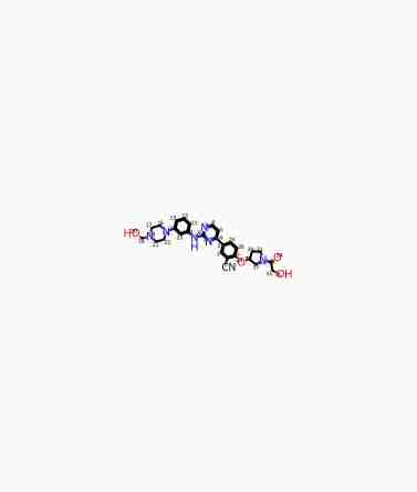 N#Cc1cc(-c2ccnc(Nc3cccc(N4CCN(CO)CC4)c3)n2)ccc1O[C@@H]1CCN(C(=O)CO)C1